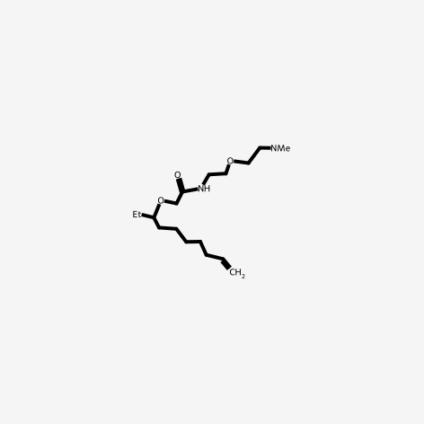 C=CCCCCCC(CC)OCC(=O)NCCOCCNC